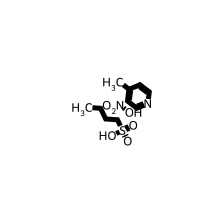 CCCCS(=O)(=O)O.Cc1ccncc1.O=[N+]([O-])O